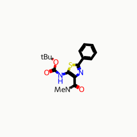 CNC(=O)c1nc(-c2ccccc2)sc1NC(=O)OC(C)(C)C